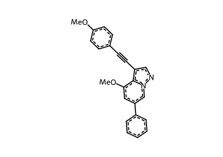 COc1ccc(C#Cc2cnn3cc(-c4ccccc4)cc(OC)c23)cc1